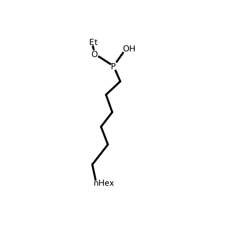 CCCCCCCCCCCCP(O)OCC